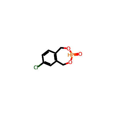 O=[PH]1OCc2ccc(Cl)cc2CO1